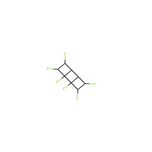 FC12C3C4C1(F)C1(F)C4(F)C3(F)C21F